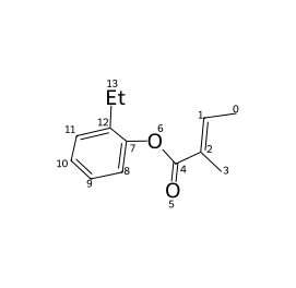 CC=C(C)C(=O)Oc1ccccc1CC